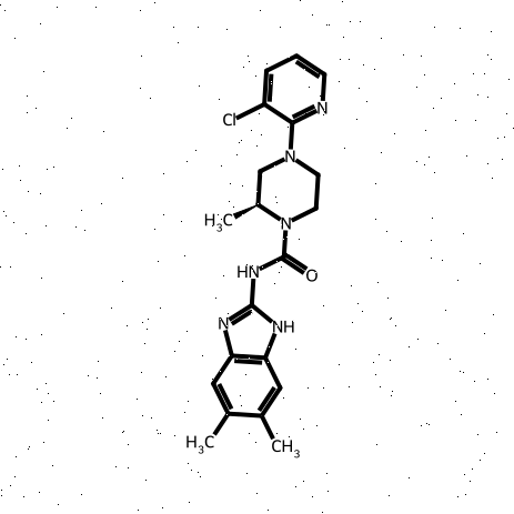 Cc1cc2nc(NC(=O)N3CCN(c4ncccc4Cl)C[C@@H]3C)[nH]c2cc1C